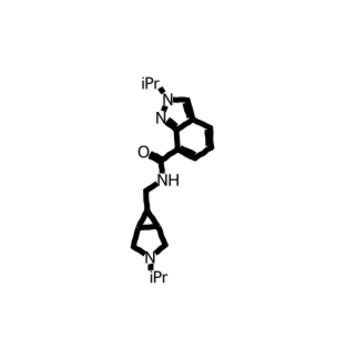 CC(C)N1CC2C(CNC(=O)c3cccc4cn(C(C)C)nc34)C2C1